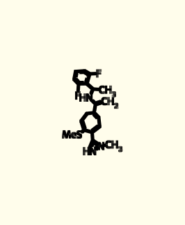 C=C(NC(C)c1c(F)cccc1F)C1=CC=C(c2c[nH]n2C)C(SC)=CC1